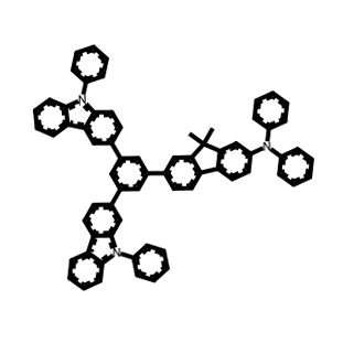 CC1(C)c2cc(-c3cc(-c4ccc5c(c4)c4ccccc4n5-c4ccccc4)cc(-c4ccc5c6ccccc6n(-c6ccccc6)c5c4)c3)ccc2-c2ccc(N(c3ccccc3)c3ccccc3)cc21